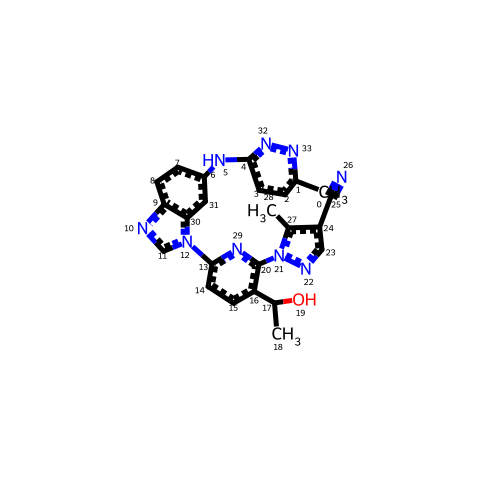 Cc1ccc(Nc2ccc3ncn(-c4ccc(C(C)O)c(-n5ncc(C#N)c5C)n4)c3c2)nn1